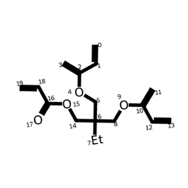 C=CC(=C)OCC(CC)(COC(=C)C=C)COC(=O)C=C